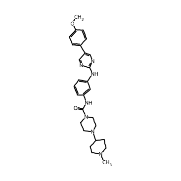 COc1ccc(-c2cnc(Nc3cccc(NC(=O)N4CCN(C5CCN(C)CC5)CC4)c3)nc2)cc1